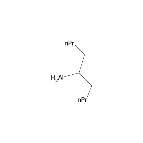 CCCC[CH]([AlH2])CCCC